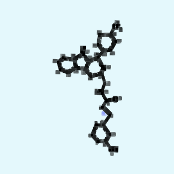 O=C(/C=C/c1cccc(O)c1)NCc1cc2c([nH]c3ccccc32)c(-c2ccc(C(F)(F)F)cc2)n1